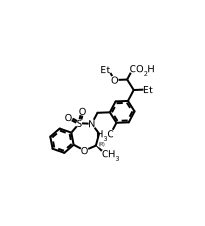 CCOC(C(=O)O)C(CC)c1ccc(C)c(CN2C[C@@H](C)Oc3ccccc3S2(=O)=O)c1